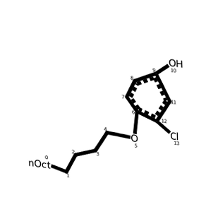 CCCCCCCCCCCCOc1ccc(O)cc1Cl